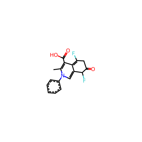 CC1=C(C(=O)O)C2=C(F)CC(=O)C(F)C2=CN1c1ccccc1